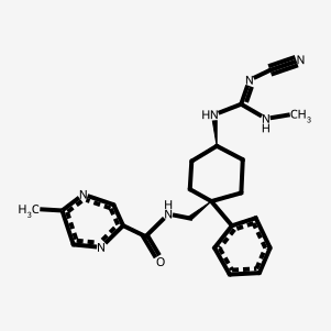 CN/C(=N\C#N)N[C@H]1CC[C@](CNC(=O)c2cnc(C)cn2)(c2ccccc2)CC1